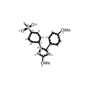 COc1ccc(-c2nc(OC)nn2-c2ccc(S(C)(=O)=O)cc2)cc1